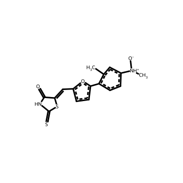 Cc1cc([NH+](C)[O-])ccc1-c1ccc(/C=C2\SC(=S)NC2=O)o1